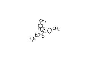 Cc1ccc(CC(CN)(Cc2ccc(C)cc2)C(=O)NCCN)cc1